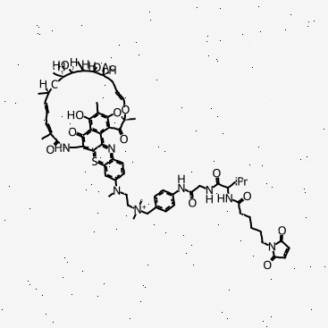 CC(=O)O[C@H]1[C@H](C)[C@H](O)[C@H](C)C[C@@H](C)/C=C/C=C(/C)C(=O)Nc2c3sc4cc(N(C)CC[N+](C)(C)Cc5ccc(NC(=O)CNC(=O)C(NC(=O)CCCCCN6C(=O)C=CC6=O)C(C)C)cc5)ccc4nc-3c3c4c(c(C)c(O)c3c2=O)O[C@](C)(O/C=C/C[C@H]1C)C4=O